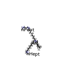 CCCCC/C=C\C/C=C\CCCCCCCC/C(CCCCCCCC/C=C\CCCCCCC)=N/NCCN(C)C